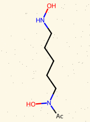 CC(=O)N(O)CCCCCNO